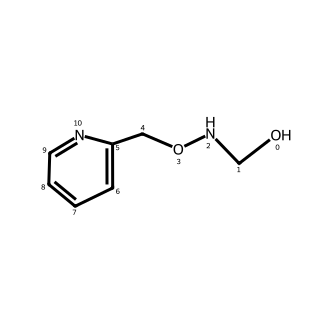 OCNOCc1ccccn1